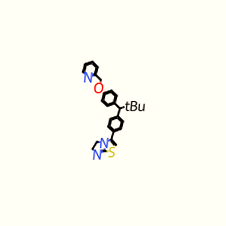 CC(C)(C)C(c1ccc(OCc2ccccn2)cc1)c1ccc(C2=CSC3=NCCN23)cc1